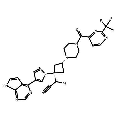 [2H]C(C#N)[C@]1(n2cc(-c3ncnc4[nH]ccc34)cn2)C[C@H](N2CCN(C(=O)c3ccnc(C(F)(F)F)n3)CC2)C1